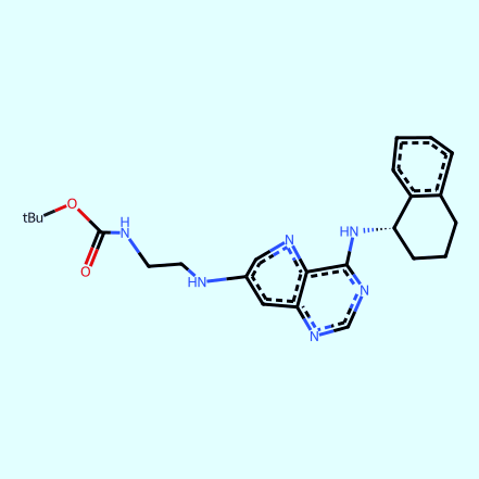 CC(C)(C)OC(=O)NCCNc1cnc2c(N[C@H]3CCCc4ccccc43)ncnc2c1